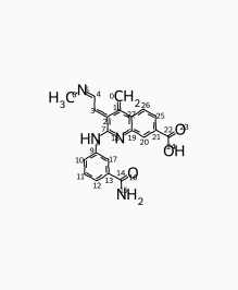 C=c1/c(=C\C=N/C)c(Nc2cccc(C(N)=O)c2)nc2cc(C(=O)O)ccc12